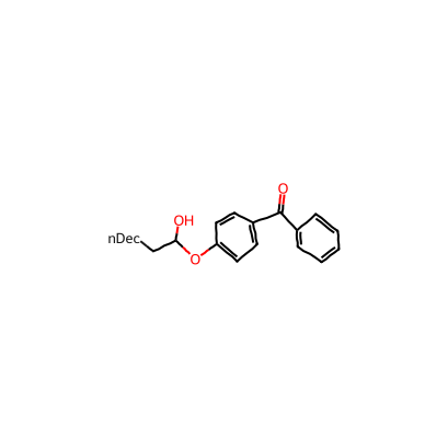 CCCCCCCCCCCC(O)Oc1ccc(C(=O)c2ccccc2)cc1